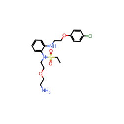 CCS(=O)(=O)N(CCOCCN)c1ccccc1NCCOc1ccc(Cl)cc1